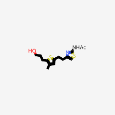 CC(=O)Nc1nc(CCc2cc(C)c(CCCO)s2)cs1